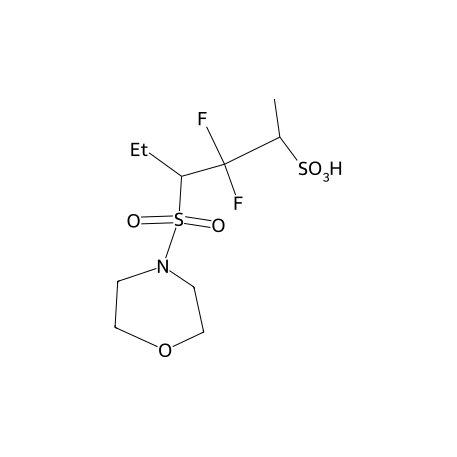 CCC(C(F)(F)C(C)S(=O)(=O)O)S(=O)(=O)N1CCOCC1